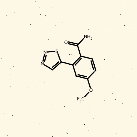 NC(=O)c1ccc(OC(F)(F)F)cc1-c1cnns1